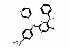 O=C(O)c1ccc(Nc2ncc(Cl)c(Nc3ccccc3)n2)cc1.c1cncnc1